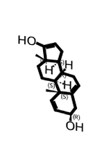 C[C@]12C=C[C@H](O)CC1=CC[C@@H]1[C@@H]2CC[C@]2(C)C(O)=CC[C@@H]12